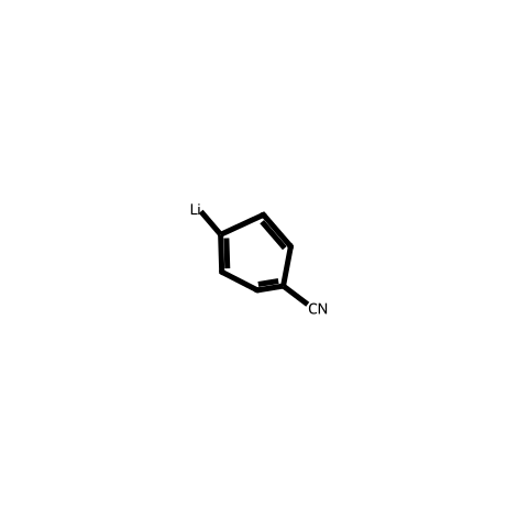 [Li][c]1ccc(C#N)cc1